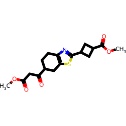 COC(=O)CC(=O)C1CCc2nc(C3CC(C(=O)OC)C3)sc2C1